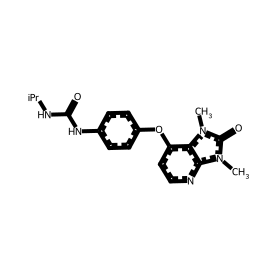 CC(C)NC(=O)Nc1ccc(Oc2ccnc3c2n(C)c(=O)n3C)cc1